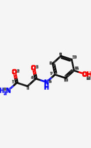 NC(=O)CC(=O)Nc1cccc(O)c1